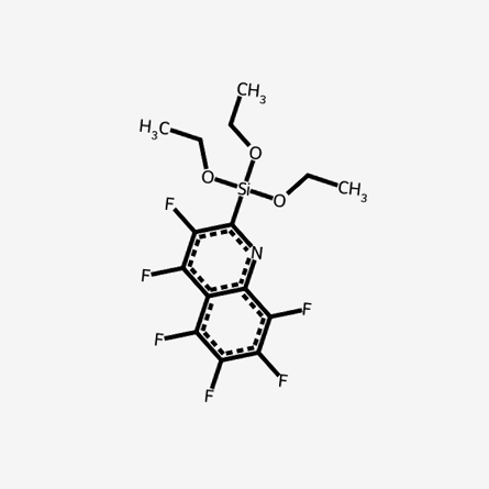 CCO[Si](OCC)(OCC)c1nc2c(F)c(F)c(F)c(F)c2c(F)c1F